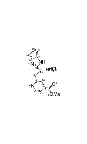 COC(=O)c1ccnc(CSc2nc3cscc3[nH]2)c1.Cl.Cl